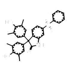 Cc1cc(C2(c3cc(C)c(O)c(C)c3)C(=O)Nc3cc(S(=O)(=O)c4ccccc4)ccc32)cc(C)c1O